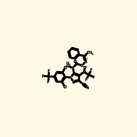 C/C(=N/OC(=O)N(C)c1c([S+]([O-])C(F)(F)F)c(C#N)nn1-c1c(Cl)cc(C(F)(F)F)cc1Cl)c1ccccc1